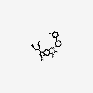 C#C/C=C(\C=C\C)c1n[nH]c2cc3c(cc12)CN([C@@H]1CCCN(c2cccc(C)c2)C1)C(=O)N3